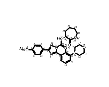 COc1ccc(-c2nc3c4cccc(N5CCOCC5)c4nc(N[C@@H]4CCCCNC4=O)n3n2)cc1